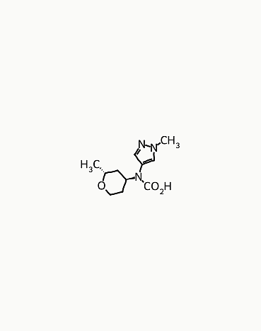 C[C@@H]1C[C@@H](N(C(=O)O)c2cnn(C)c2)CCO1